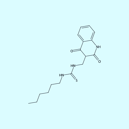 CCCCCCNC(=S)NCC1C(=O)Nc2ccccc2C1=O